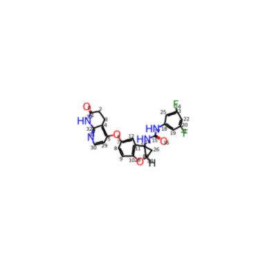 O=C1CCc2c(Oc3ccc4c(c3)C3(NC(=O)Nc5cc(F)cc(F)c5)C[C@@H]3O4)ccnc2N1